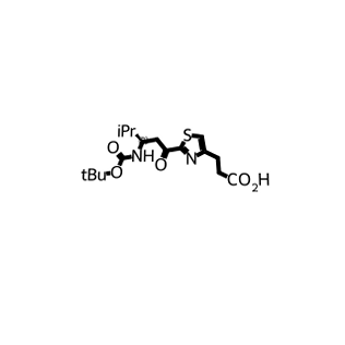 CC(C)[C@@H](CC(=O)c1nc(CCC(=O)O)cs1)NC(=O)OC(C)(C)C